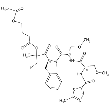 COC[C@H](NC(=O)c1cnc(C)s1)C(=O)N[C@@H](COC)C(=O)N[C@@H](Cc1ccccc1)C(=O)C(C)(CI)OC(=O)CCCOC(C)=O